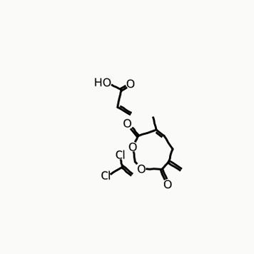 C=C(Cl)Cl.C=C1CC=C(C)C(=O)OCOC1=O.C=CC(=O)O